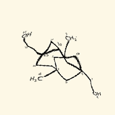 [CH2]C12CC3(C)CC(CO)(C1)CC(CO)(C2)C3